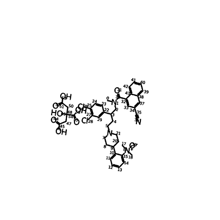 CN(CC(CCN1CCC(c2ccccc2[N+](C)(C)[O-])CC1)c1ccc(Cl)c(Cl)c1)C(=O)c1cc(C#N)cc2ccccc12.O=C(O)CC(O)(CC(=O)O)C(=O)O